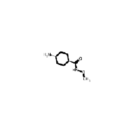 CONC(=O)[C@H]1CC[C@H](N)CC1